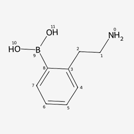 NCCc1ccccc1B(O)O